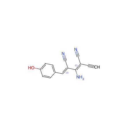 C#C/C(C#N)=C(N)/C(C#N)=C/c1ccc(O)cc1